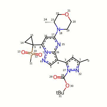 Cc1cc(-c2cnn3c(C4(S(C)(=O)=O)CC4)cc(N4CCOC[C@H]4C)nc23)n(C(=O)OC(C)(C)C)n1